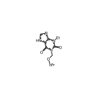 CCCOCn1c(=O)c2[nH]cnc2n(CC)c1=O